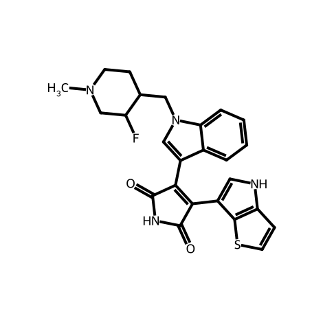 CN1CCC(Cn2cc(C3=C(c4c[nH]c5ccsc45)C(=O)NC3=O)c3ccccc32)C(F)C1